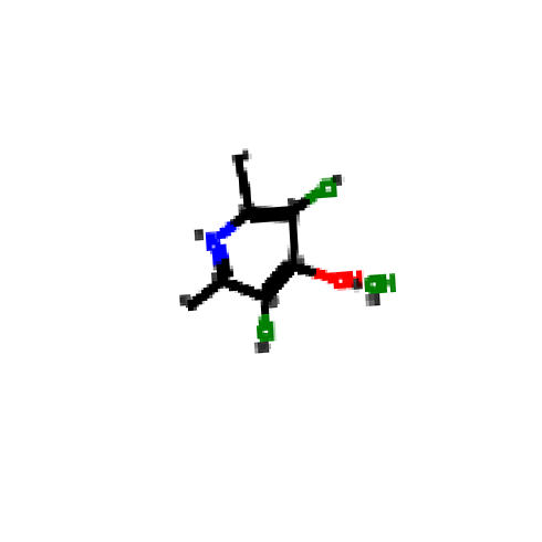 Cc1nc(C)c(Cl)c(O)c1Cl.Cl